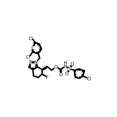 O=C(NS(=O)(=O)c1ccc(Cl)cc1)OC/C=C1/c2c(cnn2Cc2ccc(Cl)cc2Cl)CCC1F